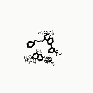 CC1=CC(C)(C)Nc2ccc(OS(=O)(=O)C(F)(F)F)cc21.COc1cccc(-c2ccc3c(c2)C(CSCCc2ccccc2)=CC(C)(C)N3)c1